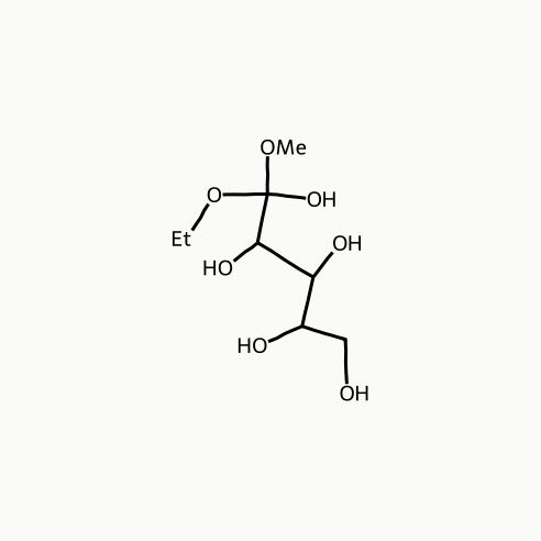 CCOC(O)(OC)C(O)C(O)C(O)CO